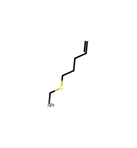 [CH]=CCCCSCCCC